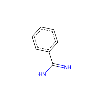 [NH]C(=N)c1ccccc1